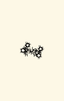 C[C@H](C[C@@H](C)OP1N[C@H]2CCCC[C@@H]2N1c1ccccc1)OP1N[C@H]2CCCC[C@@H]2N1c1ccccc1